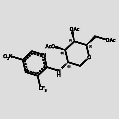 CC(=O)OC[C@H]1OC[C@H](Nc2ncc([N+](=O)[O-])cc2C(F)(F)F)[C@@H](OC(C)=O)[C@H]1OC(C)=O